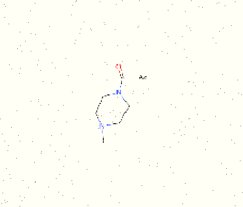 CC(=O)C(=O)N1CCN(C)CC1